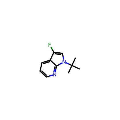 CC(C)(C)n1cc(F)c2cccnc21